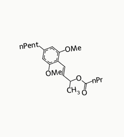 CCCCCc1cc(OC)c(C=CC(C)OC(=O)CCC)c(OC)c1